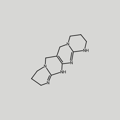 C1CNC2=NC3=C(CN2C1)CN1CCCN=C1N3